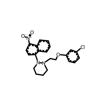 O=[N+]([O-])c1ccc(N2CCCCN2CCOc2cccc(Cl)c2)c2ccccc12